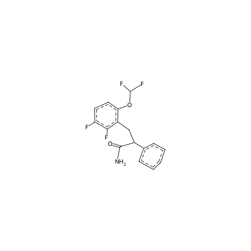 NC(=O)C(Cc1c(OC(F)F)ccc(F)c1F)c1ccccc1